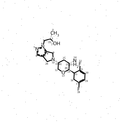 C[C@H](O)Cn1ncc2c1CN([C@H]1CO[C@H](C3CC(F)=CC=C3F)[C@@H](N)C1)C2